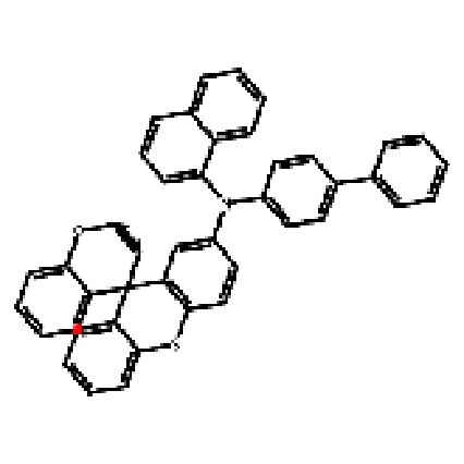 c1ccc(-c2ccc(N(c3ccc4c(c3)C3(c5ccccc5Oc5ccccc53)c3ccccc3S4)c3cccc4ccccc34)cc2)cc1